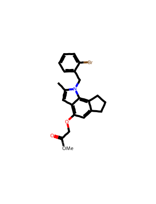 COC(=O)COc1cc2c(c3c1cc(C)n3Cc1ccccc1Br)CCC2